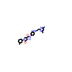 Cc1cccc(N2CC(C(=O)Nc3ccc(NCCc4nc(C)cc(C)n4)cc3)CC2=O)c1